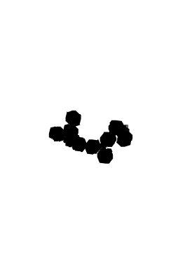 CC1(C)c2ccc(-c3ccc(N(c4ccccc4)c4ccc(-c5cccc6sc7ccccc7c56)cc4)cc3)cc2-c2cc(-c3ccccc3)cc(-c3ccccc3)c21